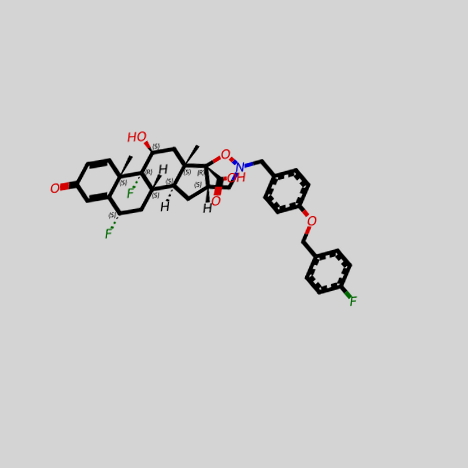 C[C@]12C=CC(=O)C=C1[C@@H](F)C[C@H]1[C@@H]3C[C@H]4CN(Cc5ccc(OCc6ccc(F)cc6)cc5)O[C@@]4(C(=O)O)[C@@]3(C)C[C@H](O)[C@@]12F